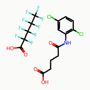 O=C(O)C(F)(F)C(F)(F)C(F)(F)C(F)(F)F.O=C(O)CCCC(=O)Nc1cc(Cl)ccc1Cl